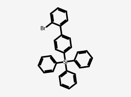 Brc1ccccc1-c1ccc([Si](c2ccccc2)(c2ccccc2)c2ccccc2)cc1